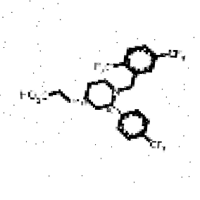 O=C(O)CC[C@@H]1CCN(Cc2cc(C(F)(F)F)ccc2C(F)(F)F)[C@H](c2ccc(C(F)(F)F)cc2)C1